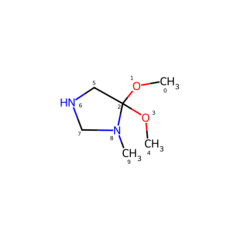 COC1(OC)CNCN1C